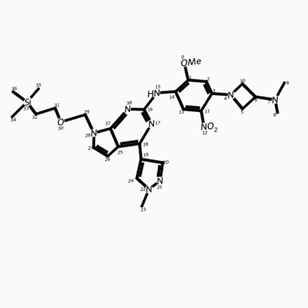 COc1cc(N2CC(N(C)C)C2)c([N+](=O)[O-])cc1Nc1nc(-c2cnn(C)c2)c2ccn(COCC[Si](C)(C)C)c2n1